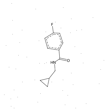 O=C(NCC1CC1)c1ccc(F)cc1